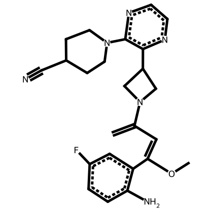 C=C(/C=C(/OC)c1cc(F)ccc1N)N1CC(c2nccnc2N2CCC(C#N)CC2)C1